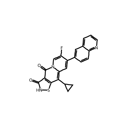 O=c1[nH]sc2c(C3CC3)c3cc(-c4ccc5ncccc5c4)c(F)cn3c(=O)c12